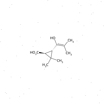 CC(C)=C(O)[C@H]1[C@H](C(=O)O)C1(C)C